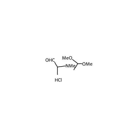 CNC(C)C=O.COC(C)OC.Cl